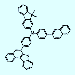 CC1(C)c2ccccc2-c2ccc(N(c3ccc(-c4ccc5ccccc5c4)cc3)c3ccc(-c4cc5ccccc5c5c4sc4ccccc45)cc3)cc21